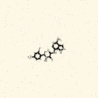 CCN(C(=O)C(=O)Nc1cnc(N)c2cn[nH]c12)[C@H](C)c1ccc(C(F)(F)F)cc1F